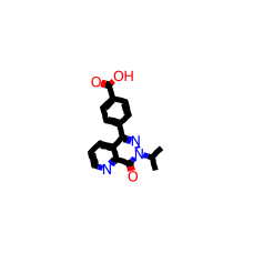 CC(C)n1nc(-c2ccc(C(=O)O)cc2)c2cccnc2c1=O